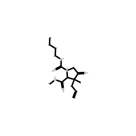 C=CCC1(C)C(=O)CN(C(=O)OCCCC)C1C(=O)OC